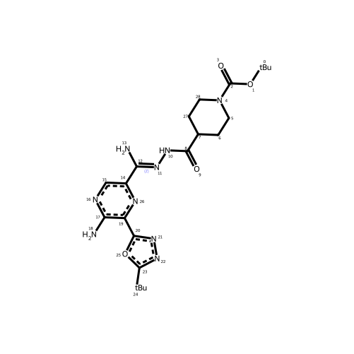 CC(C)(C)OC(=O)N1CCC(C(=O)N/N=C(\N)c2cnc(N)c(-c3nnc(C(C)(C)C)o3)n2)CC1